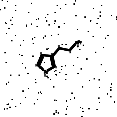 CCCCCc1cc[te]c1